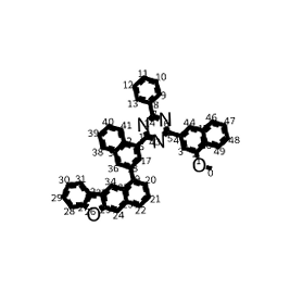 COc1cc(-c2nc(-c3ccccc3)nc(-c3cc(-c4cccc5cc6oc7ccccc7c6cc45)cc4ccccc34)n2)cc2ccccc12